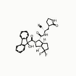 N#C[C@H](C[C@H]1CCNC1=O)NC(=O)[C@@H]1[C@H]2CCC(F)(F)[C@H]2CN1C(=O)C1(O)c2ccccc2-c2ccccc21